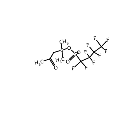 CC(=O)CS(C)(C)OS(=O)(=O)C(F)(F)C(F)(F)C(F)(F)C(F)(F)F